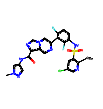 COc1ncc(Cl)cc1S(=O)(=O)Nc1ccc(F)c(-c2cn3cnc(C(=O)Nc4cnn(C)c4)c3cn2)c1F